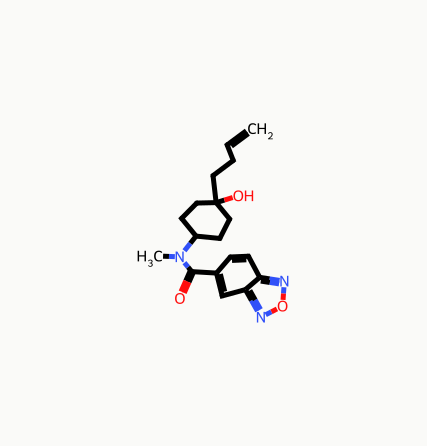 C=CCCC1(O)CCC(N(C)C(=O)c2ccc3nonc3c2)CC1